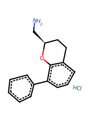 Cl.NC[C@H]1CCc2cccc(-c3ccccc3)c2O1